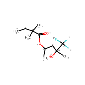 CCC(C)(C)C(=O)OC(C)CC(C)(O)C(F)(F)F